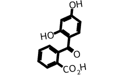 O=C(O)c1ccccc1C(=O)c1ccc(O)cc1O